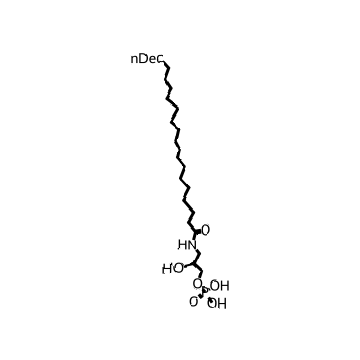 CCCCCCCCCCCCCCCCCCCCCCCCCCC(=O)NCC(O)COP(=O)(O)O